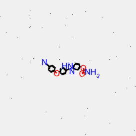 N#Cc1ccc(Oc2ccc(-c3nc4cc(OC(N)=O)ccc4[nH]3)cc2)cc1